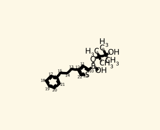 CC(C)(O)C(C)(C)OB(O)c1cc(CCCc2ccccc2)cs1